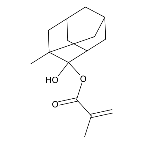 C=C(C)C(=O)OC1(O)C2CC3CC(C2)CC1(C)C3